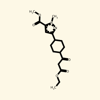 CCOC(=O)CC(=O)C1CCC(c2cc(C(=O)OC)n(C)n2)CC1